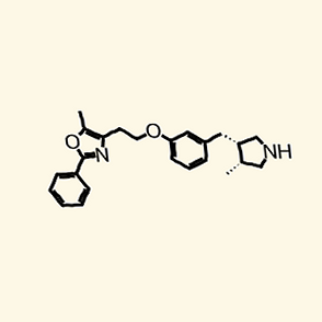 Cc1oc(-c2ccccc2)nc1CCOc1cccc(C[C@@H]2CNC[C@@H]2C)c1